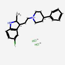 CC1Nc2ccc(F)cc2C1CCN1CCC(c2ccccc2)CC1.Cl.Cl